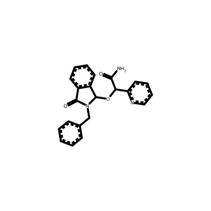 NC(=O)C(OC1c2ccccc2C(=O)N1Cc1ccccc1)c1ccccn1